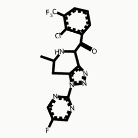 CC1Cc2c(nnn2-c2ncc(F)cn2)C(C(=O)c2cccc(C(F)(F)F)c2Cl)N1